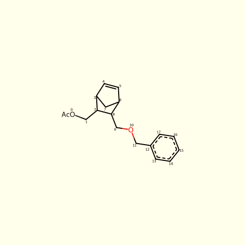 CC(=O)OCC1C2C=CC(C2)C1COCc1ccccc1